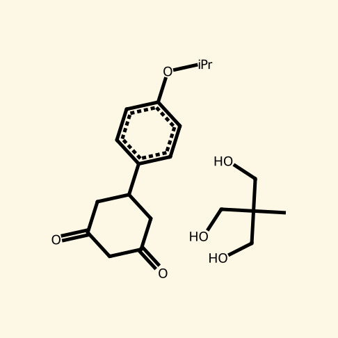 CC(C)Oc1ccc(C2CC(=O)CC(=O)C2)cc1.CC(CO)(CO)CO